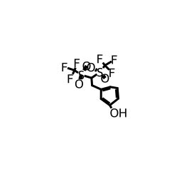 O=S(=O)(C(Cc1cccc(O)c1)S(=O)(=O)C(F)(F)F)C(F)(F)F